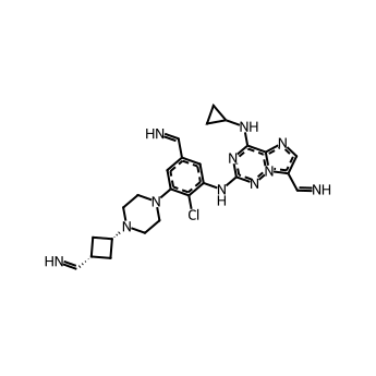 N=Cc1cc(Nc2nc(NC3CC3)c3ncc(C=N)n3n2)c(Cl)c(N2CCN([C@H]3C[C@@H](C=N)C3)CC2)c1